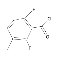 Cc1ccc(F)c(C(=O)Cl)c1F